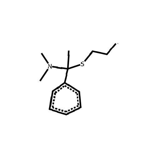 [CH2]CCSC(C)(c1ccccc1)N(C)C